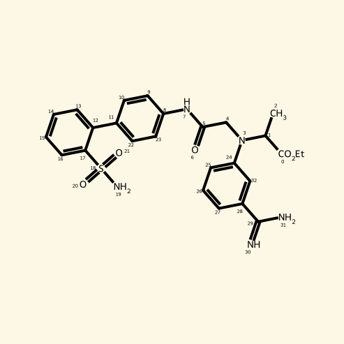 CCOC(=O)C(C)N(CC(=O)Nc1ccc(-c2ccccc2S(N)(=O)=O)cc1)c1cccc(C(=N)N)c1